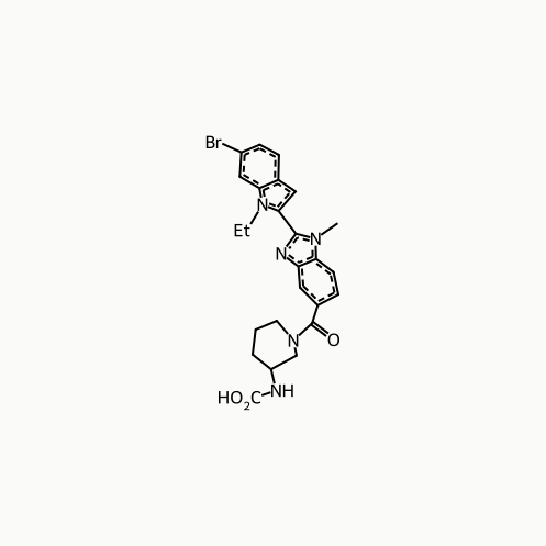 CCn1c(-c2nc3cc(C(=O)N4CCCC(NC(=O)O)C4)ccc3n2C)cc2ccc(Br)cc21